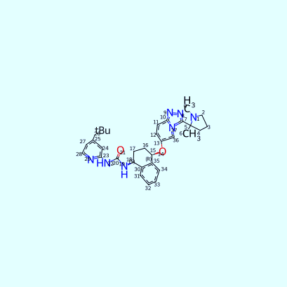 CN1CCCC1(C)c1nnc2ccc(O[C@@H]3CC[C@H](NC(=O)Nc4cc(C(C)(C)C)ccn4)c4ccccc43)cn12